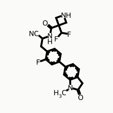 CN1C(=O)Cc2ccc(-c3ccc(CC(C#N)NC(=O)C4(C(F)F)CNC4)c(F)c3)cc21